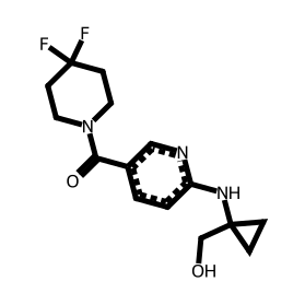 O=C(c1ccc(NC2(CO)CC2)nc1)N1CCC(F)(F)CC1